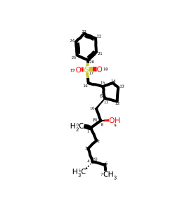 C=C(CC[C@@H](C)CC)[C@H](O)C[C@@H]1CCCC1CS(=O)(=O)c1ccccc1